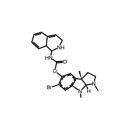 CN1CC[C@@]2(C)c3cc(OC(=O)NC4NCC=C5C=CC=CC54)c(Br)cc3N(C)[C@@H]12